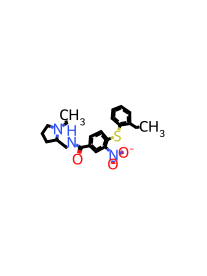 CCc1ccccc1Sc1ccc(C(=O)NCC2CCCN2CC)cc1[N+](=O)[O-]